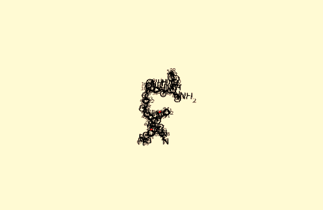 CNCc1cc(NC(=O)[C@H](CCCNC(N)=O)NC(=O)[C@@H](NC(=O)OC(C)(C)C)C(C)C)ccc1C[N+]1(CCOc2ccc(CC(=O)N3CCc4cc(-c5cc(C(=O)N(c6ccc(OC(=O)C(F)(F)F)cc6)c6cc(C#N)n(C)c6C)c(C)n5C)c(C(=O)N5Cc6ccccc6C[C@H]5C)cc4C3)cc2)CCOCC1